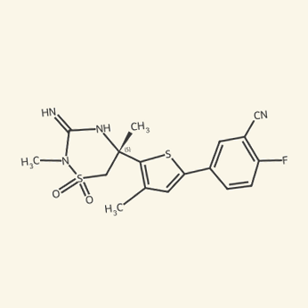 Cc1cc(-c2ccc(F)c(C#N)c2)sc1[C@]1(C)CS(=O)(=O)N(C)C(=N)N1